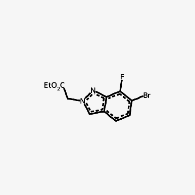 CCOC(=O)Cn1cc2ccc(Br)c(F)c2n1